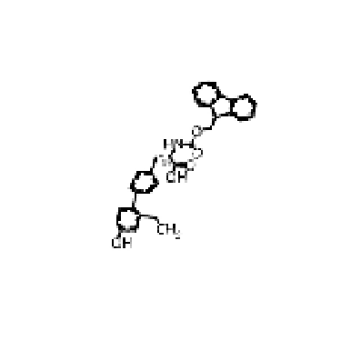 CCc1cc(O)ccc1-c1ccc(C[C@H](NC(=O)OCC2c3ccccc3-c3ccccc32)C(=O)O)cc1